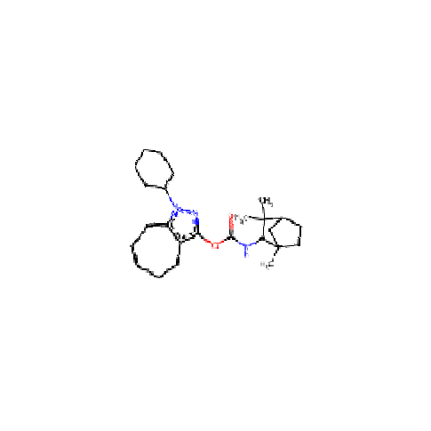 CC12CCC(C1)C(C)(C)C2NC(=O)Oc1nn(C2CCCCC2)c2c1CCCCC2